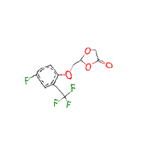 O=C1COC(COc2ccc(F)cc2C(F)(F)F)O1